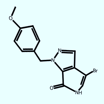 COc1ccc(Cn2ncc3c(Br)c[nH]c(=O)c32)cc1